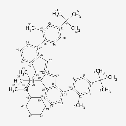 Cc1cc(C(C)(C)C)ccc1-c1cccc2c1C=C[CH]2[Hf]([CH3])([CH3])([CH]1C=Cc2c(-c3ccc(C(C)(C)C)cc3C)cccc21)=[Si](C)C1CCCCC1